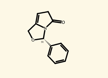 O=C1CC=C2CO[C@@H](c3ccccc3)N12